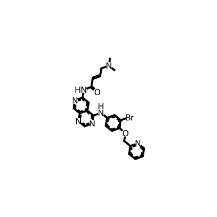 CN(C)C/C=C/C(=O)Nc1cc2c(Nc3ccc(OCc4ccccn4)c(Br)c3)ncnc2cn1